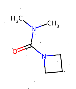 CN(C)C(=O)N1C[CH]C1